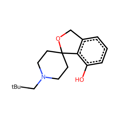 CC(C)(C)CN1CCC2(CC1)OCc1cccc(O)c12